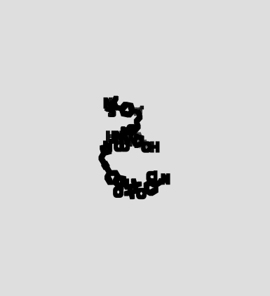 Cc1ncsc1-c1ccc([C@H](C)CCCC(=O)[C@@H]2C[C@@H](O)CN2C(=O)[C@@H](NC(=O)CN2CC(CC#Cc3ccc4c(c3)CN([C@H]3C(C)(C)[C@H](Oc5ccc(C#N)c(Cl)c5)C3(C)C)C4=O)C2)C(C)(C)C)cc1